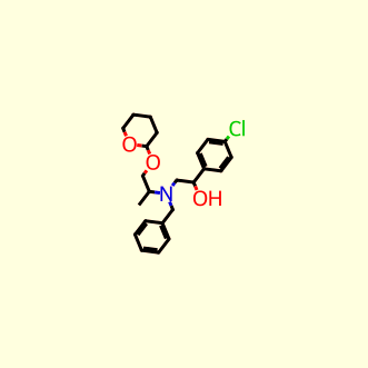 CC(COC1CCCCO1)N(Cc1ccccc1)CC(O)c1ccc(Cl)cc1